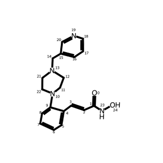 O=C(/C=C/c1ccccc1N1CCN(Cc2cccnc2)CC1)NO